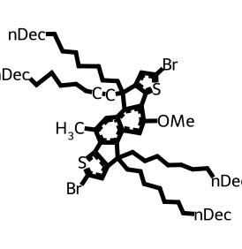 CCCCCCCCCCCCCCCCCC1(CCCCCCCCCCCCCCCCC)c2cc(Br)sc2-c2c(C)cc3c4c(c(OC)cc3c21)-c1sc(Br)cc1C4(CCCCCCCCCCCCCCCCC)CCCCCCCCCCCCCCCCC